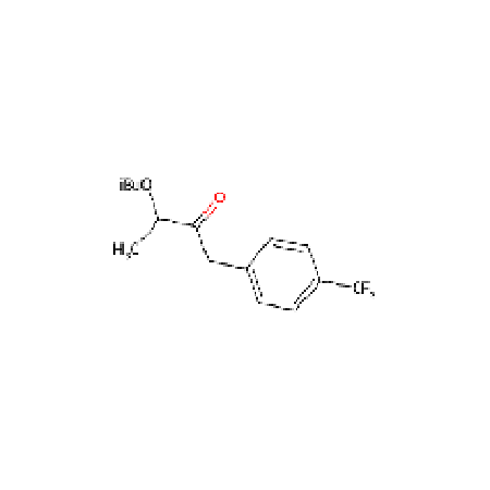 CC(C)COC(C)C(=O)Cc1ccc(C(F)(F)F)cc1